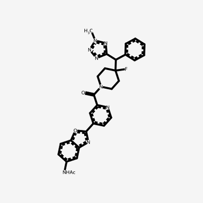 CC(=O)Nc1ccc2oc(-c3ccnc(C(=O)N4CCC(F)(C(c5ccccc5)c5nnn(C)n5)CC4)c3)nc2c1